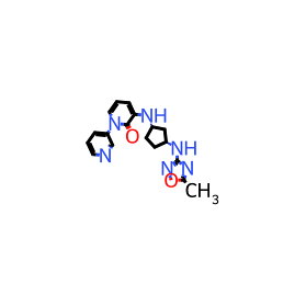 Cc1nc(N[C@H]2CC[C@H](Nc3cccn(-c4cccnc4)c3=O)C2)no1